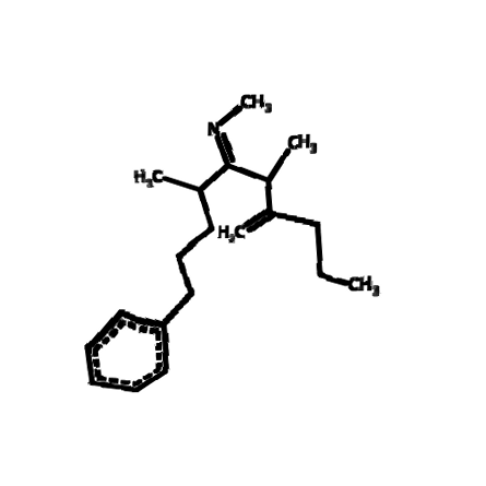 C=C(CCC)C(C)/C(=N\C)C(C)CCCc1ccccc1